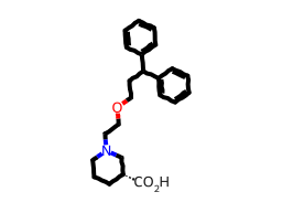 O=C(O)[C@@H]1CCCN(CCOCCC(c2ccccc2)c2ccccc2)C1